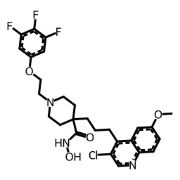 COc1ccc2ncc(Cl)c(CCCC3(C(=O)NO)CCN(CCOc4cc(F)c(F)c(F)c4)CC3)c2c1